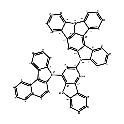 c1ccc2c(c1)ccc1c2c2ccccc2n1-c1nc(-n2c3ccccc3c3c4c5ccccc5n5c6ccccc6c(cc32)c45)nc2c1sc1ccccc12